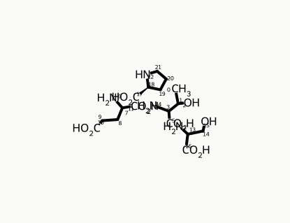 CC(O)C(N)C(=O)O.NC(CCC(=O)O)C(=O)O.NC(CO)C(=O)O.O=C(O)[C@@H]1CCCN1